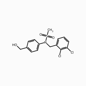 CS(=O)(=O)N(Cc1cccc(Cl)c1Cl)c1ccc(CO)cc1